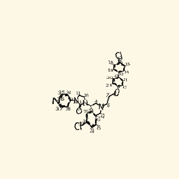 O=C1N(CCN(CCOc2ccc(-c3ccc(Cl)cc3)cc2)Cc2ccc(Cl)cc2)CCN1c1ccncc1